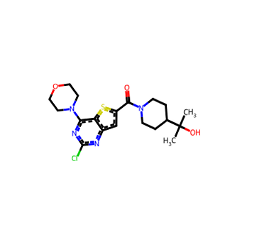 CC(C)(O)C1CCN(C(=O)c2cc3nc(Cl)nc(N4CCOCC4)c3s2)CC1